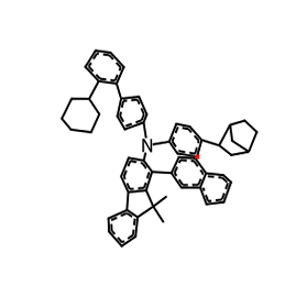 CC1(C)c2ccccc2-c2ccc(N(c3ccc(-c4ccccc4C4CCCCC4)cc3)c3ccc(C4CC5CCC4C5)cc3)c(-c3ccc4ccccc4c3)c21